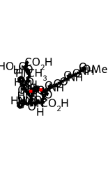 COC(=O)NCCOCCNC(=O)CCOCCOCCNC(=O)CCN1C(=O)CC(SCC(NC(=O)CNC(=O)C(Cc2c[nH]c3ccccc23)NC(=O)C(Cc2c[nH]c3ccccc23)NC(=O)CNC(=O)C(Cc2ccccc2)NNC(=O)CC[C@@H](C)NC(=O)N[C@@H](CCC(=O)O)C(=O)O)C(=O)O)C1=O